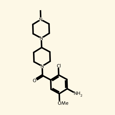 COc1cc(C(=O)N2CCC(N3CCN(C)CC3)CC2)c(Cl)cc1N